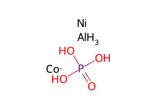 O=P(O)(O)O.[AlH3].[Co].[Ni]